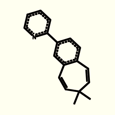 CC1(C)C=Cc2ccc(-c3ccccn3)cc2C=C1